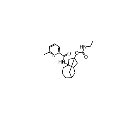 CCNC(=O)OC12CC3CCCC(NC(=O)c4cccc(C)n4)(C1)C(C3)C2